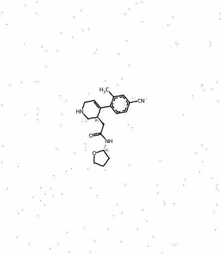 Cc1cc(C#N)ccc1C1=CCN[CH][C@@H]1CC(=O)N[C@@H]1CCCO1